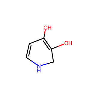 OC1=C(O)CNC=C1